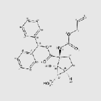 C=CCOC(=O)N[C@@]1(C(=O)OC(c2ccccc2)c2ccccc2)CC[C@H]2[C@H](C(=O)O)[C@H]21